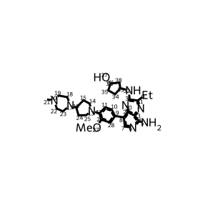 CCc1nc2c(N)ncc(-c3ccc(N4CCC(N5CCN(C)CC5)CC4)c(OC)c3)c2nc1NC1CC[C@H](O)C1